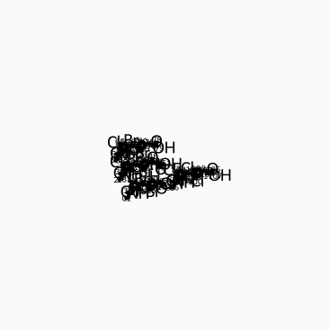 CCC(=O)Nc1cc(C)cc(COc2c(Br)cc(CC(=O)O)cc2Br)c1F.CCC(=O)Nc1cc(Cl)cc(COc2c(Br)cc(C(=O)NCC(=O)O)cc2Br)c1F.CCC(=O)Nc1cc(Cl)cc(COc2c(Br)cc(CCC(=O)O)cc2Br)c1F.CCC(=O)Nc1cc(Cl)cc(COc2c(Cl)cc(CCC(=O)O)cc2Cl)c1F